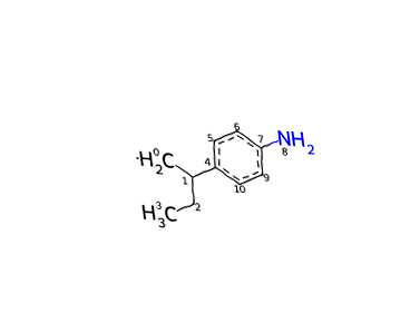 [CH2]C(CC)c1ccc(N)cc1